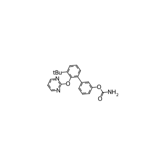 CC(C)(C)c1cccc(-c2cccc(OC(N)=O)c2)c1Oc1ncccn1